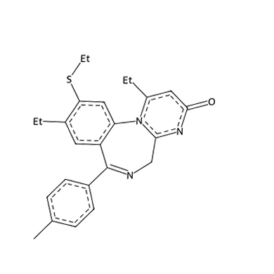 CCSc1cc2c(cc1CC)C(c1ccc(C)cc1)=NCc1nc(=O)cc(CC)n1-2